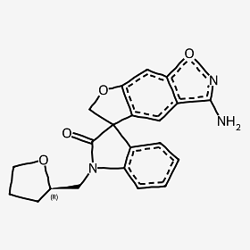 Nc1noc2cc3c(cc12)C1(CO3)C(=O)N(C[C@H]2CCCO2)c2ccccc21